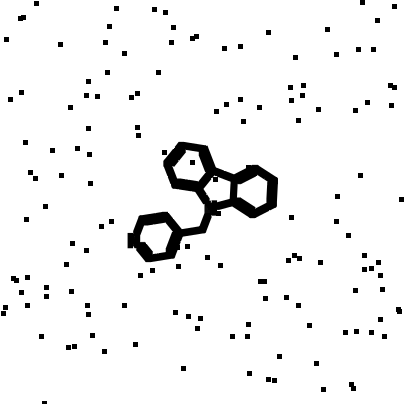 c1ccc2c(c1)c1ccccc1n2Cc1ccncc1